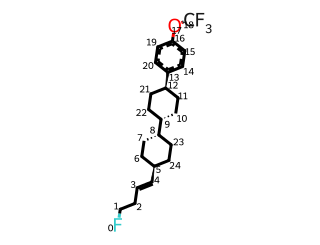 FCCC=C[C@H]1CC[C@H]([C@H]2CC[C@H](c3ccc(OC(F)(F)F)cc3)CC2)CC1